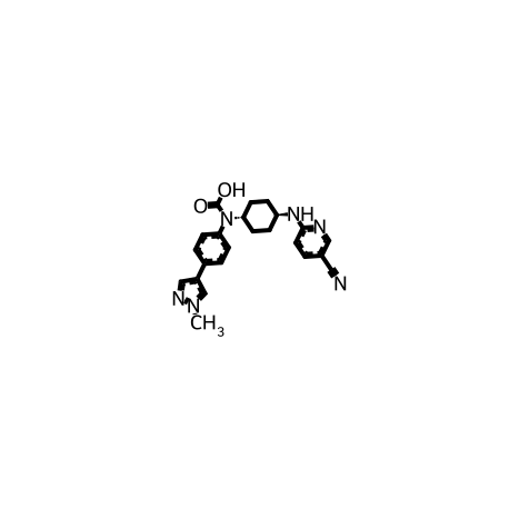 Cn1cc(-c2ccc(N(C(=O)O)[C@H]3CC[C@H](Nc4ccc(C#N)cn4)CC3)cc2)cn1